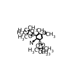 COc1cc(B2OC(C)(C)C(C)(C)O2)c(C#N)c(B2OC(C)(C)C(C)(C)O2)c1C